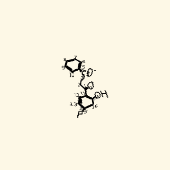 O=C(C[S+]([O-])c1ccccc1)c1ccc(F)cc1O